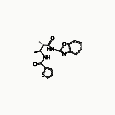 C[C@H](NC(=O)c1cccs1)[C@H](C)C(=O)Nc1nc2ccccc2o1